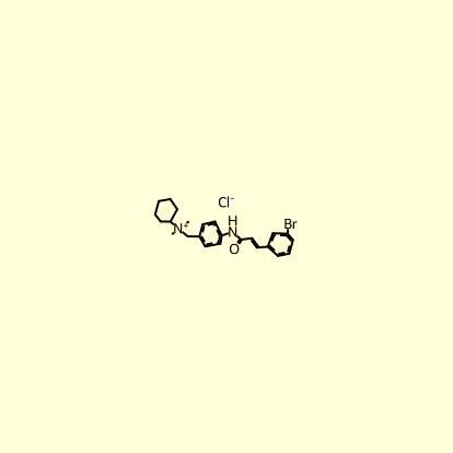 C[N+](C)(Cc1ccc(NC(=O)/C=C/c2cccc(Br)c2)cc1)C1CCCCC1.[Cl-]